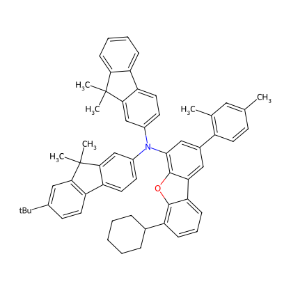 Cc1ccc(-c2cc(N(c3ccc4c(c3)C(C)(C)c3ccccc3-4)c3ccc4c(c3)C(C)(C)c3cc(C(C)(C)C)ccc3-4)c3oc4c(C5CCCCC5)cccc4c3c2)c(C)c1